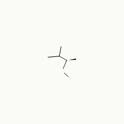 CC(Cl)[C@@H](C)ON